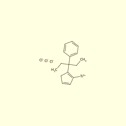 CCC(CC)(C1=[C]([Ti+3])C=CC1)c1ccccc1.[Cl-].[Cl-].[Cl-]